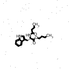 CCCCOC(=O)[C@H](Cc1c[nH]c2ccccc12)NC(=O)CCC